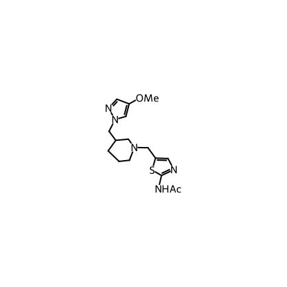 COc1cnn(CC2CCCN(Cc3cnc(NC(C)=O)s3)C2)c1